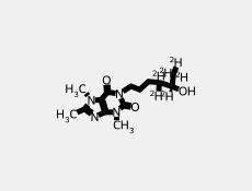 [2H]C([2H])([2H])[C@]([2H])(O)C([2H])([2H])CCCn1c(=O)c2c(nc(C)n2C)n(C)c1=O